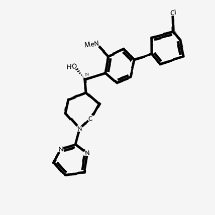 CNc1cc(-c2cccc(Cl)c2)ccc1[C@@H](O)C1CCN(c2ncccn2)CC1